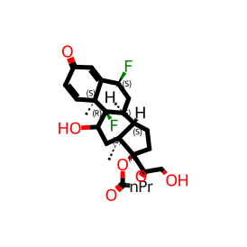 CCCC(=O)O[C@]1(C(=O)CO)CC[C@H]2[C@@H]3C[C@H](F)C4=CC(=O)C=C[C@]4(C)[C@@]3(F)C(O)C[C@@]21C